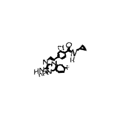 CCCNc1nc2ccc(F)cc2n2c(-c3ccc(C(=O)NC4CC4)c(Cl)c3)cnc12